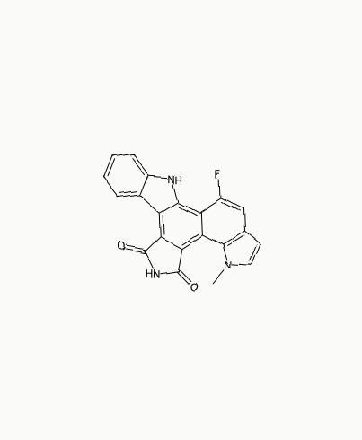 Cn1ccc2cc(F)c3c4[nH]c5ccccc5c4c4c(c3c21)C(=O)NC4=O